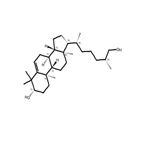 C[C@@H](CO)CCC[C@@H](C)[C@H]1CC[C@H]2[C@@H]3CC=C4C(C)(C)[C@@H](O)CC[C@]4(C)[C@H]3CC[C@]12C